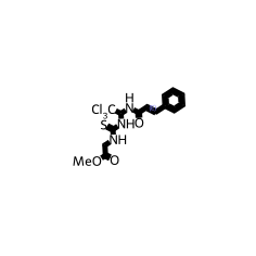 COC(=O)CNC(=S)NC(NC(=O)/C=C/c1ccccc1)C(Cl)(Cl)Cl